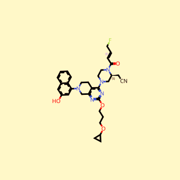 N#CC[C@H]1CN(c2nc(OCCCOC3CC3)nc3c2CCN(c2cc(O)cc4ccccc24)C3)CCN1C(=O)/C=C/CF